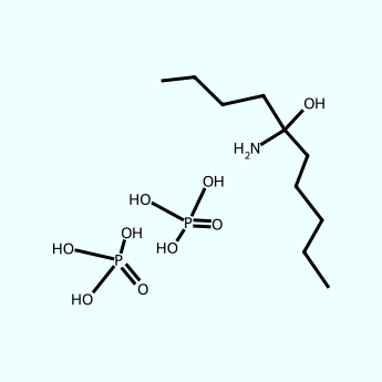 CCCCCC(N)(O)CCCC.O=P(O)(O)O.O=P(O)(O)O